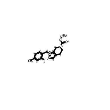 CC(C)(C)OC(=O)N1CCc2cnn(Cc3ccc(Cl)cc3F)c2C1